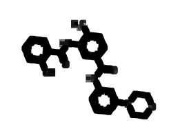 Cc1ccc(C(=O)Nc2cccc(N3CCOCC3)c2)cc1NC(=O)c1ccccc1O